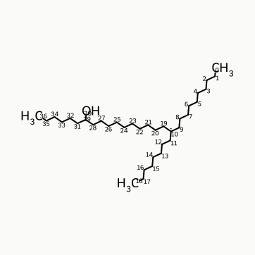 CCCCCCCCCC[C](CCCCCCCC)CCCCCCCCCCC(O)CCCCCC